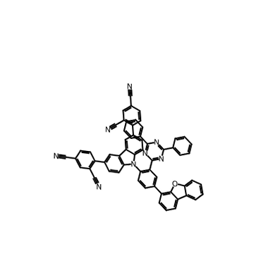 N#Cc1ccc(-c2ccc3c(c2)c2cc(-c4ccc(C#N)cc4C#N)ccc2n3-c2ccc(-c3cccc4c3oc3ccccc34)cc2-c2nc(-c3ccccc3)nc(-c3ccccc3)n2)c(C#N)c1